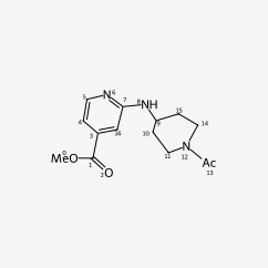 COC(=O)c1ccnc(NC2CCN(C(C)=O)CC2)c1